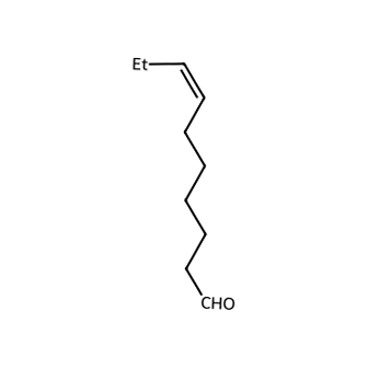 CC/C=C\CCCCCC=O